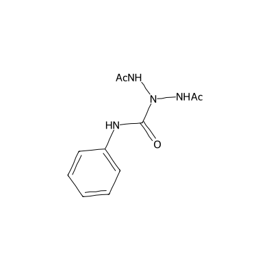 CC(=O)NN(NC(C)=O)C(=O)Nc1ccccc1